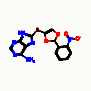 Nc1ncnc2[nH]c(SC3=COC(c4ccccc4[N+](=O)[O-])O3)nc12